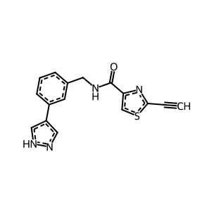 C#Cc1nc(C(=O)NCc2cccc(-c3cn[nH]c3)c2)cs1